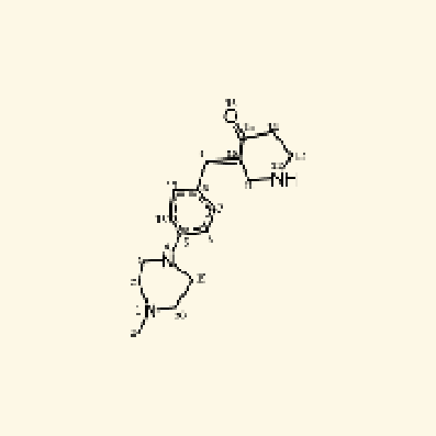 CN1CCN(c2ccc(C=C3CNCCC3=O)cc2)CC1